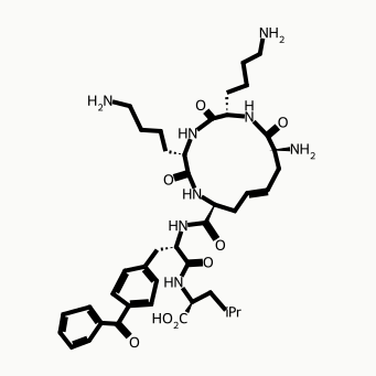 CC(C)C[C@H](NC(=O)[C@H](Cc1ccc(C(=O)c2ccccc2)cc1)NC(=O)[C@@H]1C/C=C/C[C@H](N)C(=O)N[C@@H](CCCCN)C(=O)N[C@@H](CCCCN)C(=O)N1)C(=O)O